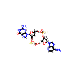 Nc1nc2c(ncn2[C@@H]2O[C@@H]3CO[P@@](=O)(S)O[C@H]4C[C@H](n5cnc6c(N)ccnc65)OC4CO[P@@](=O)(S)O[C@@H]2C3)c(=O)[nH]1